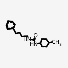 CC1CCC(NC(=O)NCCCCc2ccccc2)CC1